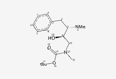 CN[C@@H](Cc1ccccc1)[C@H](O)CN(C)C(=O)OC(C)(C)C